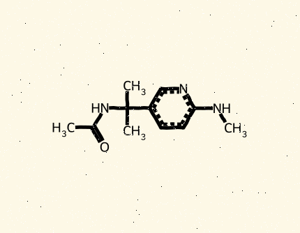 CNc1ccc(C(C)(C)NC(C)=O)cn1